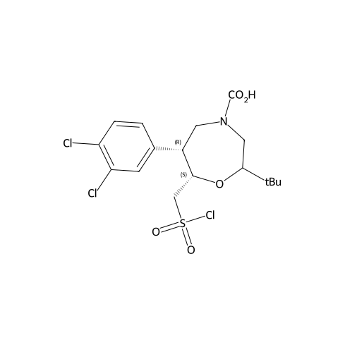 CC(C)(C)C1CN(C(=O)O)C[C@@H](c2ccc(Cl)c(Cl)c2)[C@@H](CS(=O)(=O)Cl)O1